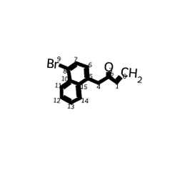 C=CC(=O)Cc1ccc(Br)c2ccccc12